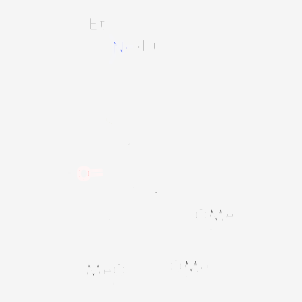 CCN(CC)CCSCC(=O)c1cc(OC)c(OC)c(OC)c1